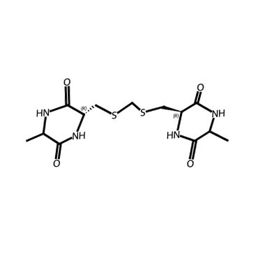 CC1NC(=O)[C@H](CSCSC[C@@H]2NC(=O)C(C)NC2=O)NC1=O